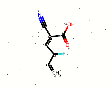 C=CC(F)C=C(C#N)C(=O)O